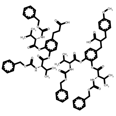 CC(C)[C@H](NC(=O)OCc1ccccc1)C(=O)Oc1ccc(CCC(=O)O)cc1OC(=O)[C@@H](NC(=O)OCc1ccccc1)C(C)C.COc1ccc(CC(Cc2ccc(OC(=O)[C@@H](NC(=O)OCc3ccccc3)C(C)C)c(OC(=O)[C@@H](NC(=O)OCc3ccccc3)C(C)C)c2)C(=O)O)cc1